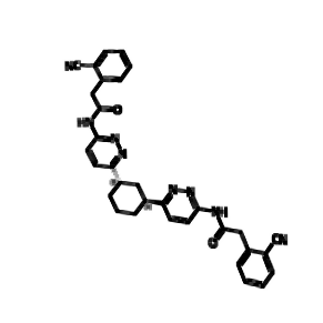 N#Cc1ccccc1CC(=O)Nc1ccc([C@H]2CCC[C@H](c3ccc(NC(=O)Cc4ccccc4C#N)nn3)C2)nn1